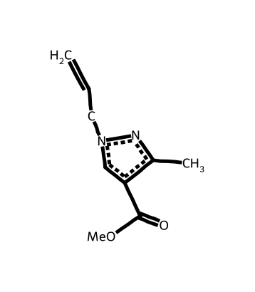 C=CCn1cc(C(=O)OC)c(C)n1